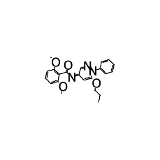 CCCOc1cc(=NC(=O)c2c(OC)cccc2OC)cnn1-c1ccccc1